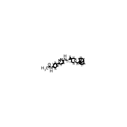 CC(=O)Nc1ccc(-c2ccc(NC[C@@H]3CC34CCN(CC35CC6CC(CC(C6)C3)C5)CC4)nn2)cc1